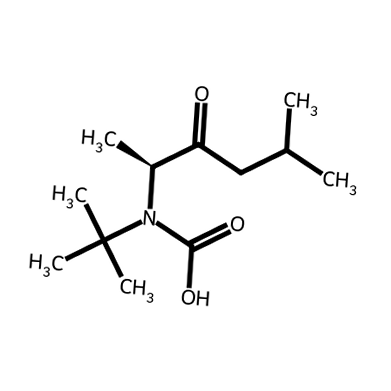 CC(C)CC(=O)[C@H](C)N(C(=O)O)C(C)(C)C